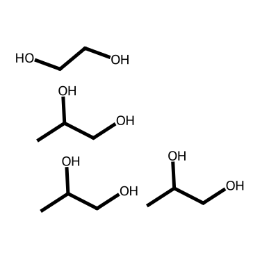 CC(O)CO.CC(O)CO.CC(O)CO.OCCO